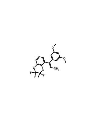 COc1cc(OC)cc(C(=CN)c2cccc3c2OC(C)(F)C(F)(F)O3)c1